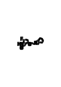 O=C1Cc2c(OCCN3Cc4ccccc4C3)ccc(F)c2N1